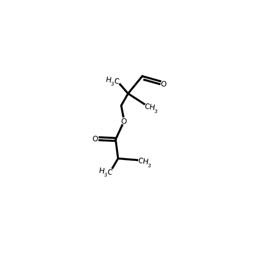 CC(C)C(=O)OCC(C)(C)C=O